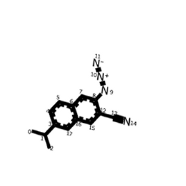 CC(C)c1ccc2cc(N=[N+]=[N-])c(C#N)cc2c1